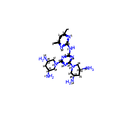 Cc1cc(C)nc(Nc2nc(N3C[C@H](N)C[C@H](N)C3)nc(N3C[C@H](N)C[C@H](N)C3)n2)n1